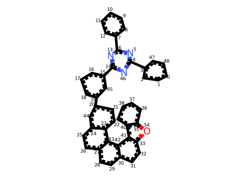 c1ccc(-c2nc(-c3ccccc3)nc(-c3cccc(-c4ccc5c(ccc6ccc7ccc8oc9ccccc9c8c7c65)c4)c3)n2)cc1